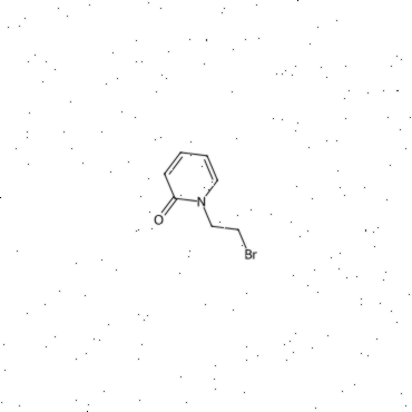 O=c1ccccn1CCBr